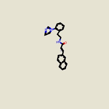 O=C(/C=C/c1ccc2ccccc2c1)NCCc1ccccc1-n1ccnc1